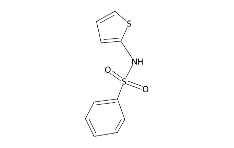 O=S(=O)(Nc1cccs1)c1ccccc1